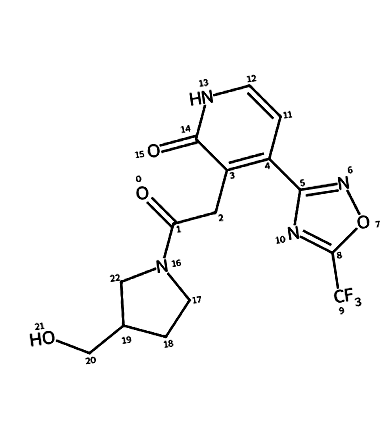 O=C(Cc1c(-c2noc(C(F)(F)F)n2)cc[nH]c1=O)N1CCC(CO)C1